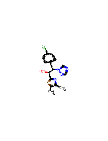 Cc1nc(C(O)C(c2ccc(Cl)cc2)n2cncn2)sc1C